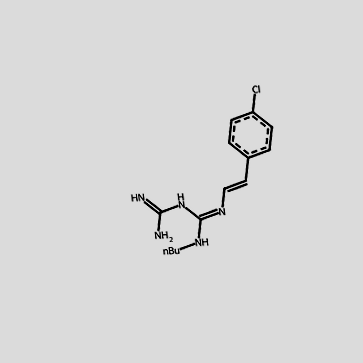 CCCCNC(=NC=Cc1ccc(Cl)cc1)NC(=N)N